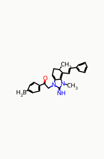 Bc1ccc(C(=O)Cn2c3c(n(C)c2=N)=C(/C=C/c2ccccc2)[C@H](C)CC=3)cc1